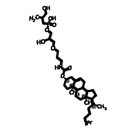 CC(C)CCC[C@H](C)C1CCC2C3CC=C4C[C@@H](OC(=O)NCCCOCC(O)COP(=O)(O)CC(C)CO)CC[C@]4(C)C3CC[C@@]21C